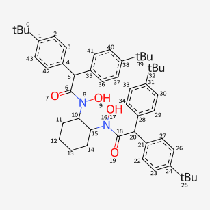 CC(C)(C)c1ccc(C(C(=O)N(O)C2CCCCC2N(O)C(=O)C(c2ccc(C(C)(C)C)cc2)c2ccc(C(C)(C)C)cc2)c2ccc(C(C)(C)C)cc2)cc1